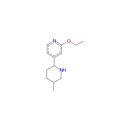 CCOc1cc(C2CCC(C)CN2)ccn1